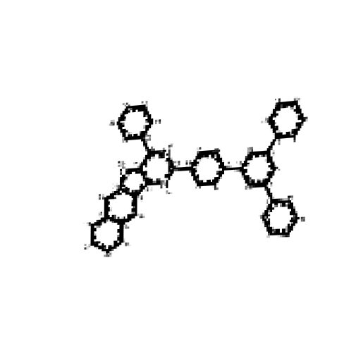 c1ccc(-c2cc(-c3ccccc3)cc(-c3ccc(-c4nc(-c5ccccc5)c5oc6cc7ccccc7cc6c5n4)cc3)c2)cc1